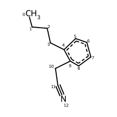 CCCCc1ccccc1CC#N